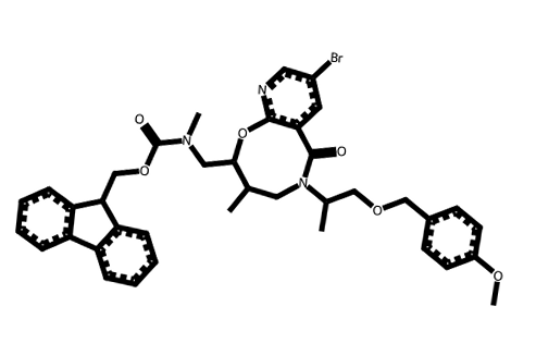 COc1ccc(COCC(C)N2CC(C)C(CN(C)C(=O)OCC3c4ccccc4-c4ccccc43)Oc3ncc(Br)cc3C2=O)cc1